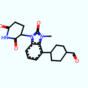 Cn1c(=O)n(C2CCC(=O)NC2=O)c2cccc(C3CCC(C=O)CC3)c21